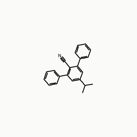 CC(C)c1cc(-c2ccccc2)c(C#N)c(-c2ccccc2)c1